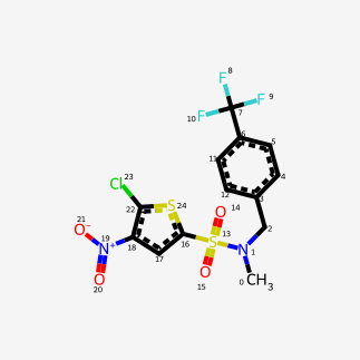 CN(Cc1ccc(C(F)(F)F)cc1)S(=O)(=O)c1cc([N+](=O)[O-])c(Cl)s1